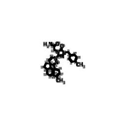 Cc1ccc(Cn2nc(N3C=C[C@]4(CCc5ccccc54)C(c4ccc(C)cc4)=N3)n(CC(N)=O)c2=O)cc1